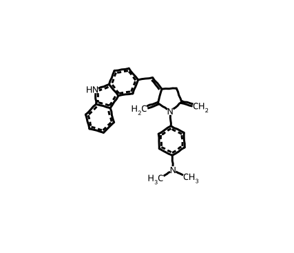 C=C1CC(=Cc2ccc3[nH]c4ccccc4c3c2)C(=C)N1c1ccc(N(C)C)cc1